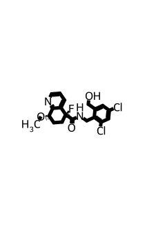 CO[C@H]1CC[C@@](F)(C(=O)NCc2c(Cl)cc(Cl)cc2CO)c2cccnc21